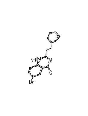 O=c1nc(CCc2ccccc2)[nH]c2ccc(Br)cc12